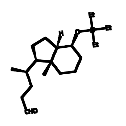 CC[Si](CC)(CC)O[C@H]1CCC[C@]2(C)[C@@H]([C@H](C)CCC=O)CC[C@@H]12